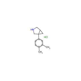 Cc1ccc(C23CNCC2C3)cc1C.Cl